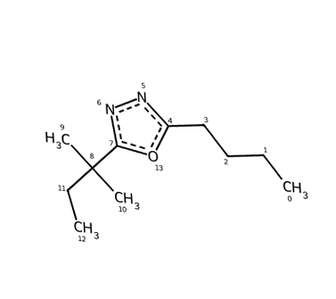 CCCCc1nnc(C(C)(C)CC)o1